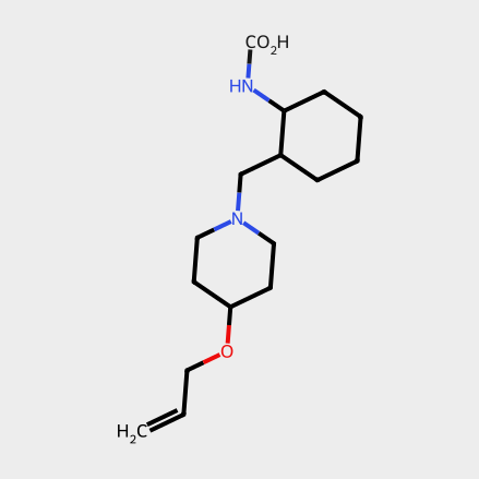 C=CCOC1CCN(CC2CCCCC2NC(=O)O)CC1